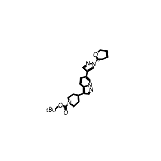 CC(C)(C)OC(=O)N1CCC(c2cnn3cc(-c4cnn([C@H]5CCCCO5)c4)ccc23)CC1